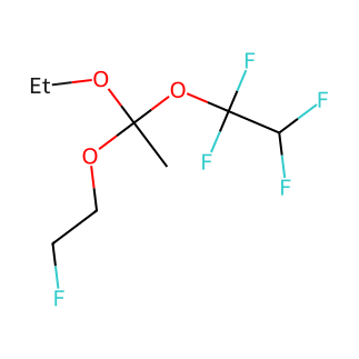 CCOC(C)(OCCF)OC(F)(F)C(F)F